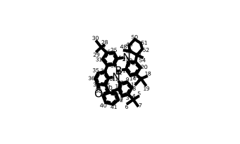 Cc1cc(C(C)(C)C)ccc1N1B2c3cc(C(C)(C)C)cc4c3N(c3cc(C(C)(C)C)cc(c32)-c2ccc3oc5ccccc5c3c21)C1(C)CCCCC41C